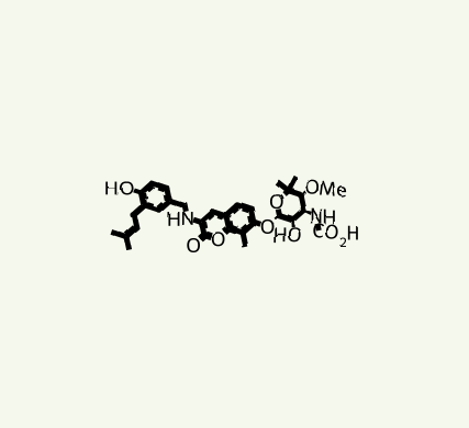 CO[C@@H]1[C@@H](NC(=O)O)[C@@H](O)[C@H](Oc2ccc3cc(NCc4ccc(O)c(CC=C(C)C)c4)c(=O)oc3c2C)OC1(C)C